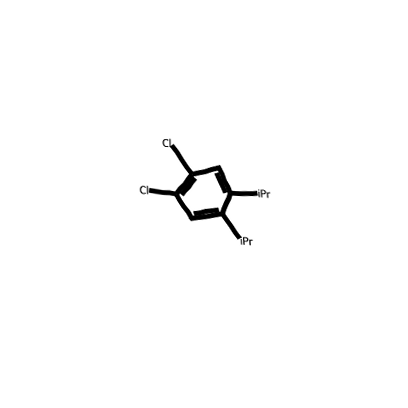 CC(C)c1cc(Cl)c(Cl)cc1C(C)C